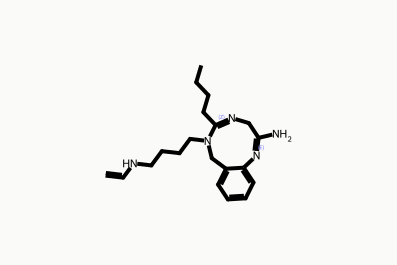 C=CNCCCCN1Cc2ccccc2/N=C(/N)C/N=C\1CCCC